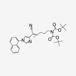 CC(C)(C)OC(=O)N(CCC/C=C(\C#N)c1cn(-c2cccc3ccccc23)cn1)C(=O)OC(C)(C)C